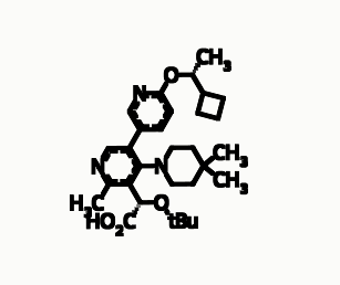 Cc1ncc(-c2ccc(O[C@H](C)C3CCC3)nc2)c(N2CCC(C)(C)CC2)c1[C@H](OC(C)(C)C)C(=O)O